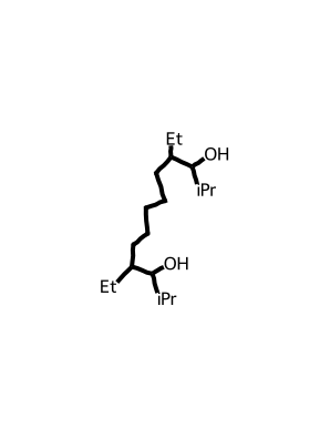 CCC(CCCCCC(CC)C(O)C(C)C)C(O)C(C)C